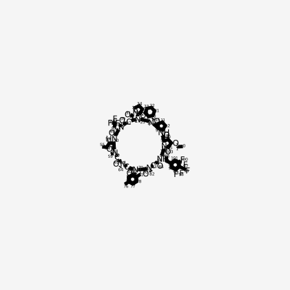 CCO[C@@H]1C[C@H]2C(=O)NC3(CCCC3)C(=O)N(C)[C@@H](C3CCCCC3)C(=O)N(C)[C@H](C(=O)N3CCCC3)CC(=O)N(C)[C@@H](CC(F)(F)F)C(=O)N[C@@H]([C@@H](C)CC)C(=O)N(C)CC(=O)N(C)CC(=O)N(C)[C@@H](Cc3ccc(C)cc3)C(=O)N(C)CC(=O)N[C@@H](CCc3cc(F)c(C(F)(F)F)c(F)c3)C(=O)N2C1